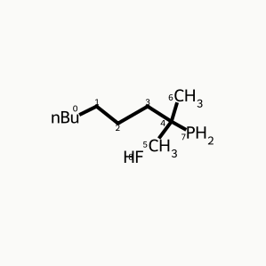 CCCCCCCC(C)(C)P.F